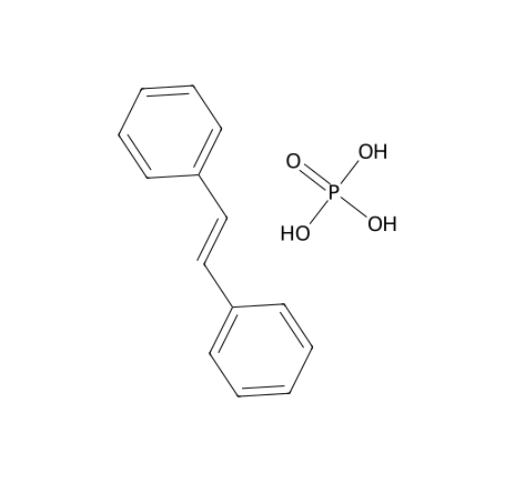 C(=Cc1ccccc1)c1ccccc1.O=P(O)(O)O